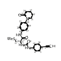 C#Cc1ccc(NC(=O)N[C@H](CSC)C(=O)Nc2ccc(-n3ccccc3=O)cc2)cc1